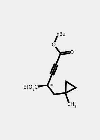 CCCCOC(=O)C#C[C@@H](CC1(C)CC1)C(=O)OCC